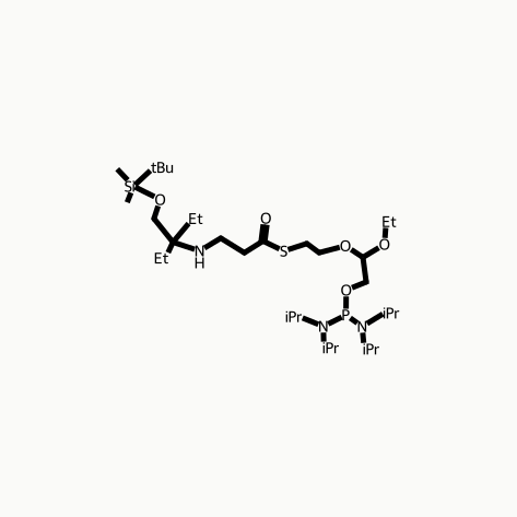 CCOC(COP(N(C(C)C)C(C)C)N(C(C)C)C(C)C)OCCSC(=O)CCNC(CC)(CC)CO[Si](C)(C)C(C)(C)C